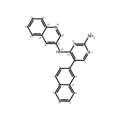 Nc1ncc(-c2ccc3ccccc3c2)c(Nc2cnc3ccccc3c2)n1